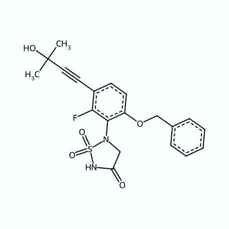 CC(C)(O)C#Cc1ccc(OCc2ccccc2)c(N2CC(=O)NS2(=O)=O)c1F